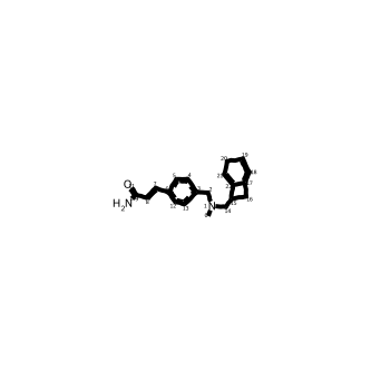 CN(Cc1ccc(/C=C/C(N)=O)cc1)CC1CC2=C=CCC=C21